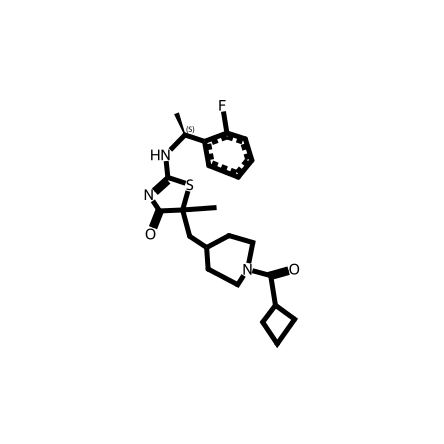 C[C@H](NC1=NC(=O)C(C)(CC2CCN(C(=O)C3CCC3)CC2)S1)c1ccccc1F